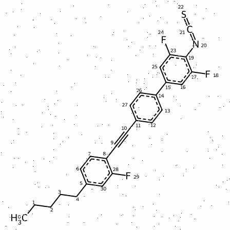 CCCCCc1ccc(C#Cc2ccc(-c3cc(F)c(N=C=S)c(F)c3)cc2)c(F)c1